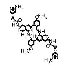 COc1ccc(C)c(-c2cc3cc(NC(=O)C4C[C@H]4c4cnn(C)c4)ncc3c(NCc3ccc(OC)cc3-c3cc4cc(NC(=O)[C@H]5C[C@@H]5c5cnn(C)c5)ncc4c(N)n3)n2)c1